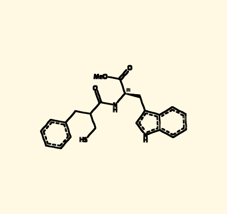 COC(=O)[C@@H](Cc1c[nH]c2ccccc12)NC(=O)C(CS)Cc1ccccc1